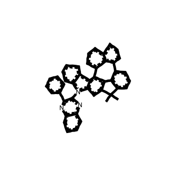 CC1(C)c2cccc3c2-c2c1cc1c(c2-c2cccc4cccc-3c24)c2ccccc2n1-c1nc2ccccc2nc1-c1ccccc1